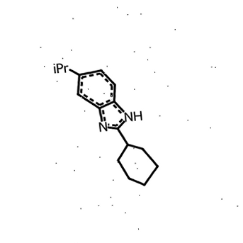 CC(C)c1ccc2[nH]c(C3CCCCC3)nc2c1